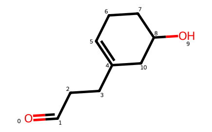 O=CCCC1=CCCC(O)C1